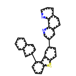 c1ccc2cc(-c3cccc4sc5ccc(-c6cnc7c(ccc8cccnc87)c6)cc5c34)ccc2c1